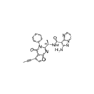 CC#Cc1coc2nc([C@@H](C)NC(=O)c3c(N)nn4cccnc34)n(-c3ccccc3)c(=O)c12